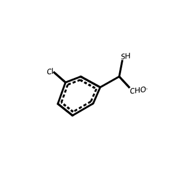 O=[C]C(S)c1cccc(Cl)c1